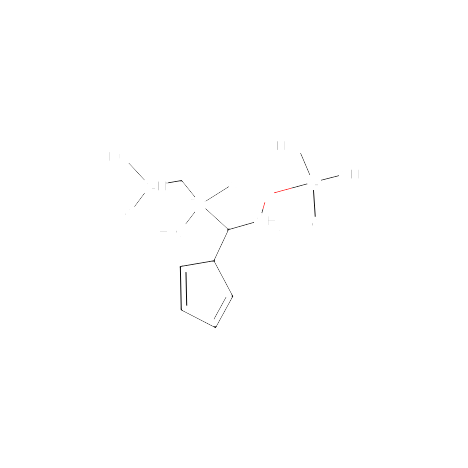 C[SiH](C)[CH2][Pt]([CH3])([CH3])[CH]([SiH2]O[Si](C)(C)C)C1C=CC=C1